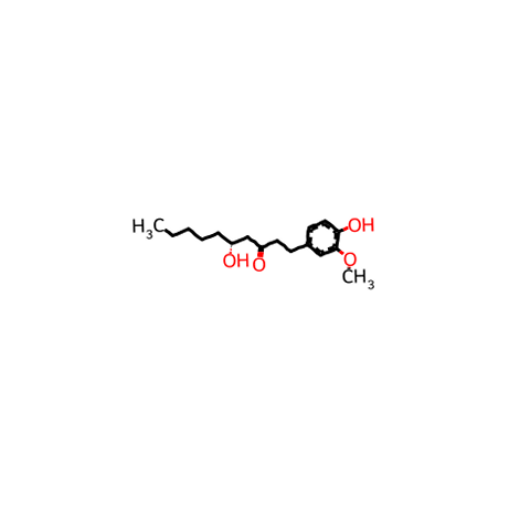 CCCCC[C@@H](O)CC(=O)CCc1ccc(O)c(OC)c1